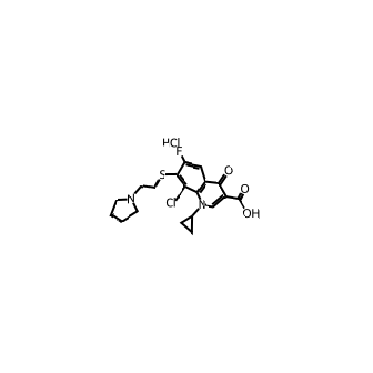 Cl.O=C(O)c1cn(C2CC2)c2c(Cl)c(SCCN3CCCC3)c(F)cc2c1=O